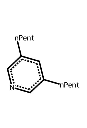 CCCCCc1cncc(CCCCC)c1